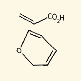 C1=CCOC=C1.C=CC(=O)O